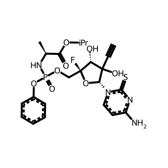 C#CC1(O)[C@@H](O)[C@@](F)(COP(=O)(N[C@@H](C)C(=O)OC(C)C)Oc2ccccc2)O[C@H]1n1ccc(N)nc1=S